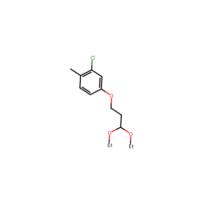 CCOC(CCOc1ccc(C)c(Cl)c1)OCC